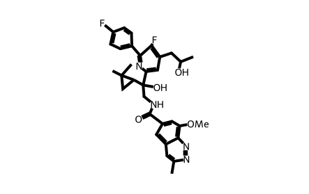 COc1cc(C(=O)NCC(O)(c2cc(CC(C)O)c(F)c(-c3ccc(F)cc3)n2)C2CC2(C)C)cc2cc(C)nnc12